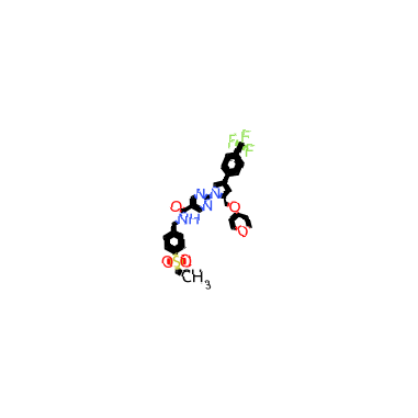 CCS(=O)(=O)c1ccc(CNC(=O)c2cnc(N3CC(c4ccc(C(F)(F)F)cc4)C[C@H]3COC3CCOCC3)nc2)cc1